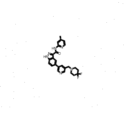 Cc1ccnc(NC(=O)c2n[nH]c3ccc(-c4cncc(CN5CCC(F)(F)CC5)c4)cc23)c1